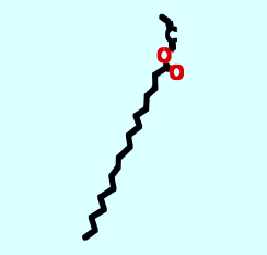 CC=C=COC(=O)CCCCCCCCCCCCCCCCC